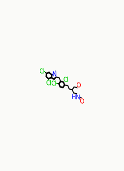 Cn1c(Cc2c(Cl)ccc(CCC(CC=O)CCNC=O)c2Cl)cc2c(Cl)cc(Cl)cc21